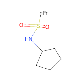 [CH2]CCS(=O)(=O)NC1CCCC1